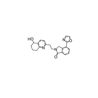 O=C1c2cccc(-c3ncco3)c2CN1CCc1ccc2c(n1)CCCC2O